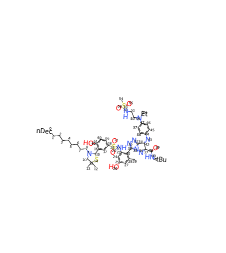 CCCCCCCCCCCCCCCCCCN1CC(C)(C)SC1c1cc(S(=O)(=O)Nc2cc(O)cc(C)c2-c2nnc3n2N=C(C(=O)NC(C)(C)C)C3=Nc2ccc(N(CC)CCNS(C)(=O)=O)cc2)ccc1O